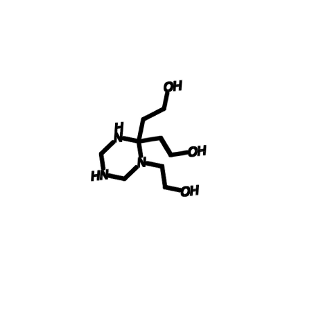 OCCN1CNCNC1(CCO)CCO